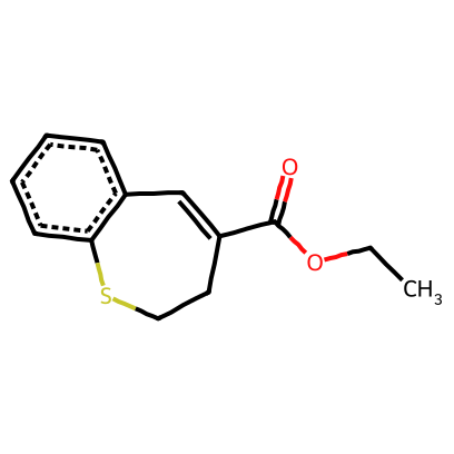 CCOC(=O)C1=Cc2ccccc2SCC1